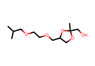 CC(C)COCCOCC1COC(C)(CO)O1